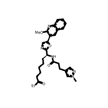 CCC(=O)CCCCC[C@H](NC(=O)CCc1cnn(C)c1)c1ncc(-c2cc3ccccc3nc2OC)o1